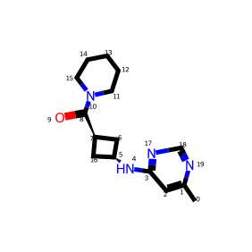 Cc1cc(N[C@H]2C[C@H](C(=O)N3CCCCC3)C2)ncn1